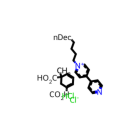 CC1(C(=O)O)C=CC=C(C(=O)O)C1.CCCCCCCCCCCCCC[n+]1ccc(-c2ccncc2)cc1.Cl.[Cl-]